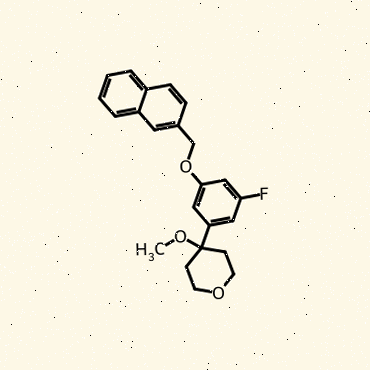 COC1(c2cc(F)cc(OCc3ccc4ccccc4c3)c2)CCOCC1